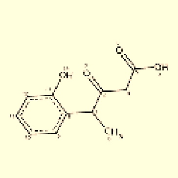 CC(C(=O)CC(=O)O)c1ccccc1O